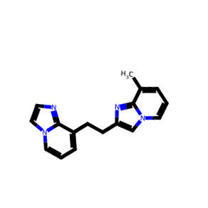 Cc1cccn2cc(CCc3cccn4c[c]nc34)nc12